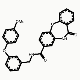 COc1ccc(Oc2cccc(CNC(=O)c3ccc4c(c3)NC(=O)c3ccccc3O4)c2)cc1